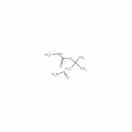 CNC(=O)OC(C)(C)C.NC=O